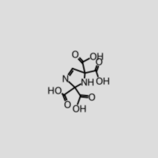 O=C(O)C1(C(=O)O)C=NC(C(=O)O)(C(=O)O)N1